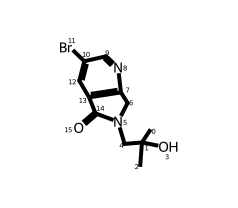 CC(C)(O)CN1Cc2ncc(Br)cc2C1=O